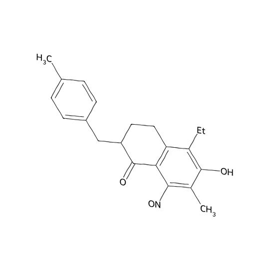 CCc1c(O)c(C)c(N=O)c2c1CCC(Cc1ccc(C)cc1)C2=O